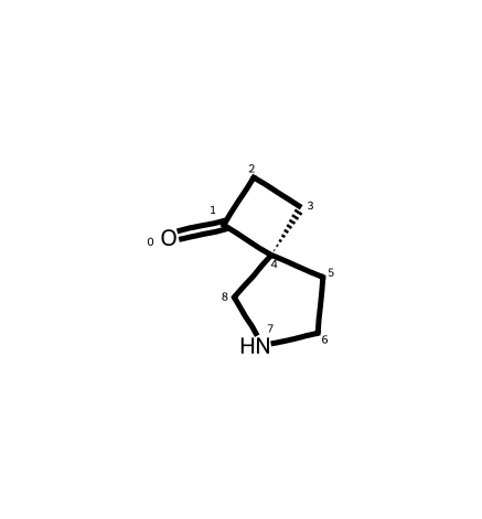 O=C1CC[C@@]12CCNC2